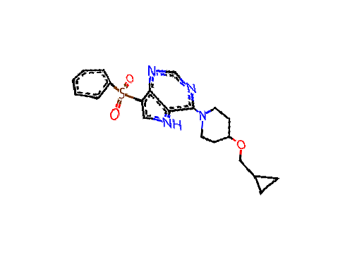 O=S(=O)(c1ccccc1)c1c[nH]c2c(N3CCC(OCC4CC4)CC3)ncnc12